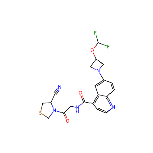 N#CC1CSCN1C(=O)CNC(=O)c1ccnc2ccc(N3CC(OC(F)F)C3)cc12